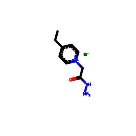 CCc1cc[n+](CC(=O)NN)cc1.[Br-]